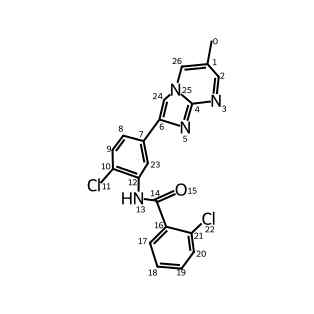 Cc1cnc2nc(-c3ccc(Cl)c(NC(=O)c4ccccc4Cl)c3)cn2c1